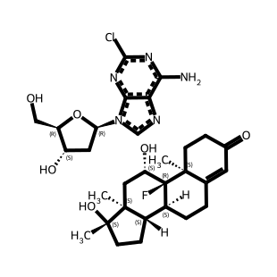 C[C@]1(O)CC[C@H]2[C@@H]3CCC4=CC(=O)CC[C@]4(C)[C@@]3(F)[C@@H](O)C[C@@]21C.Nc1nc(Cl)nc2c1ncn2[C@H]1C[C@H](O)[C@@H](CO)O1